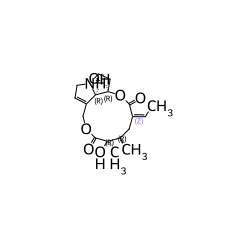 C/C=C1/C[C@@H](C)[C@@](C)(O)C(=O)OCC2=CC[N+]3([O-])CC[C@@H](OC1=O)[C@@H]23